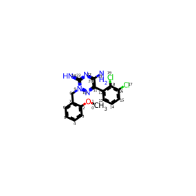 COc1ccccc1Cn1nc(-c2cccc(Cl)c2Cl)c(N)nc1=N